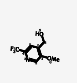 COc1cnc(C(F)(F)F)cc1CO